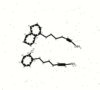 NC#CCCCCc1cccc2ccccc12.NC#CCCCCc1ccccc1Cl